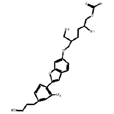 CC(C)C(=O)OCC(O)CCC(CO)COc1ccc2cc(-c3ccc(CCCO)cc3C(F)(F)F)oc2c1